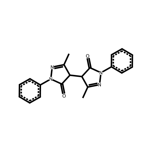 CC1=NN(c2ccccc2)C(=O)C1C1C(=O)N(c2ccccc2)N=C1C